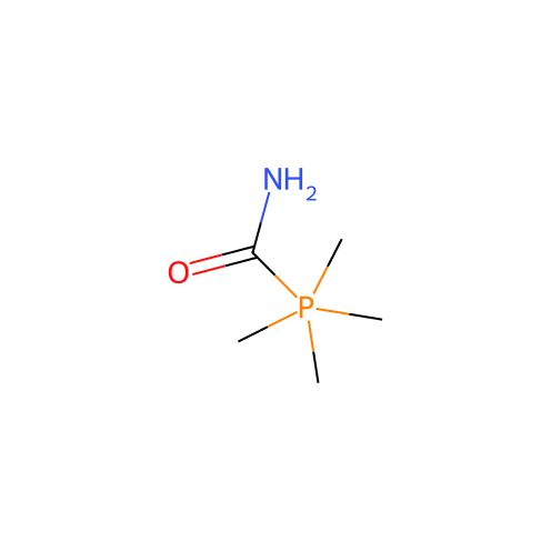 CP(C)(C)(C)C(N)=O